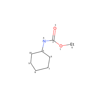 CCOC(=O)[N]C1CCCCC1